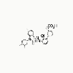 Cc1ccc2c(c1)N(c1ccc(C)c(C)c1)C(=O)C2=NNc1cccc(-c2cccc(OC(=O)O)c2)c1O